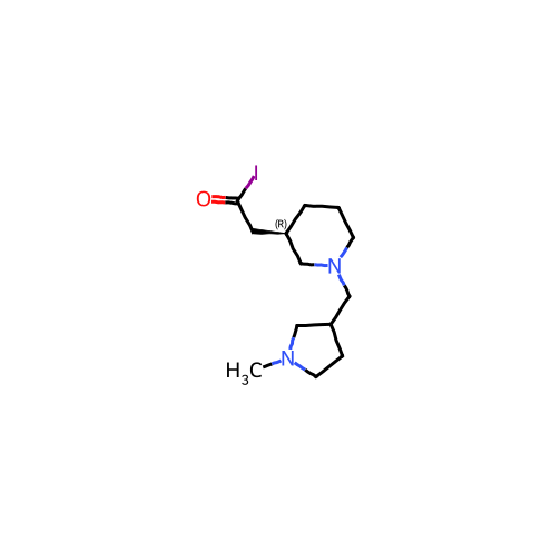 CN1CCC(CN2CCC[C@H](CC(=O)I)C2)C1